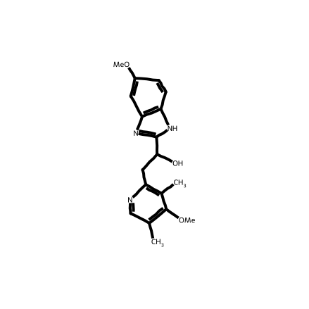 COc1ccc2[nH]c(C(O)Cc3ncc(C)c(OC)c3C)nc2c1